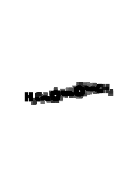 CCC=C[C@H]1CC[C@H](C=CCC[C@H]2CC[C@H](CCCCC)CC2)CC1